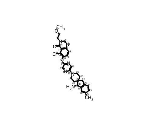 COCCn1cnc2ccc(Sc3cnc(N4CCC5(CC4)Cc4ccc(C)cc4[C@H]5N)cn3)c(Cl)c2c1=O